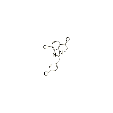 O=C1CCn2c(Cc3ccc(Cl)cc3)nc3c(Cl)ccc1c32